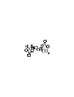 Cn1c2cc(N(c3ccccc3)c3ccccc3)ccc2c2c3ccc4c(c3ccc21)c1ccc(N(c2ccccc2)c2ccccc2)cc1n4C